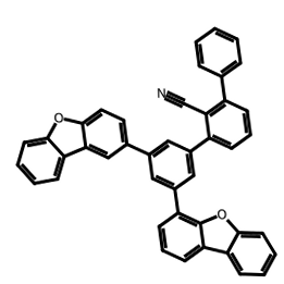 N#Cc1c(-c2ccccc2)cccc1-c1cc(-c2ccc3oc4ccccc4c3c2)cc(-c2cccc3c2oc2ccccc23)c1